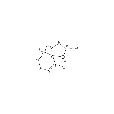 CC1=CCCC(C)(C)[C@]12CC[C@H](C)O2